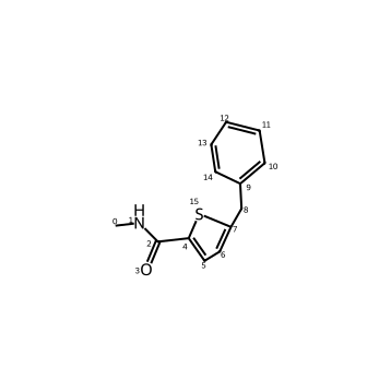 CNC(=O)c1ccc(Cc2ccccc2)s1